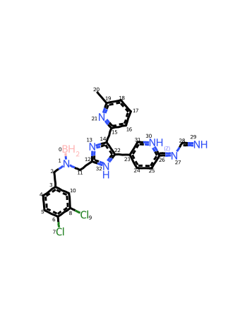 BN(Cc1ccc(Cl)c(Cl)c1)Cc1nc(-c2cccc(C)n2)c(-c2cc/c(=N/C=N)[nH]c2)[nH]1